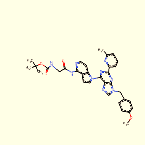 COc1ccc(Cn2cnc3c(-n4ccc5c(NC(=O)CNC(=O)OC(C)(C)C)nccc54)nc(-c4cccc(C)n4)nc32)cc1